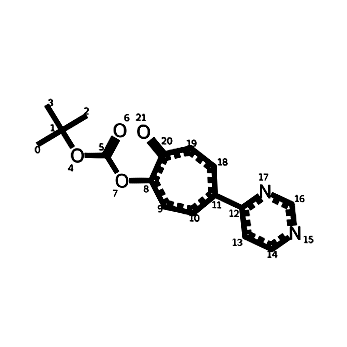 CC(C)(C)OC(=O)Oc1ccc(-c2ccncn2)ccc1=O